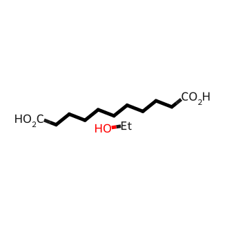 CCO.O=C(O)CCCCCCCCCC(=O)O